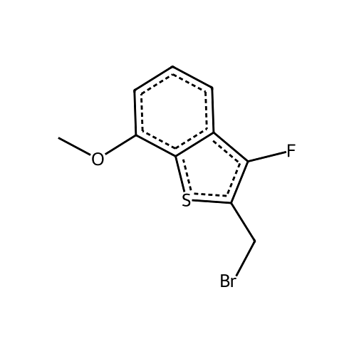 COc1cccc2c(F)c(CBr)sc12